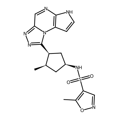 Cc1oncc1S(=O)(=O)N[C@H]1C[C@@H](C)[C@@H](c2nnc3cnc4[nH]ccc4n23)C1